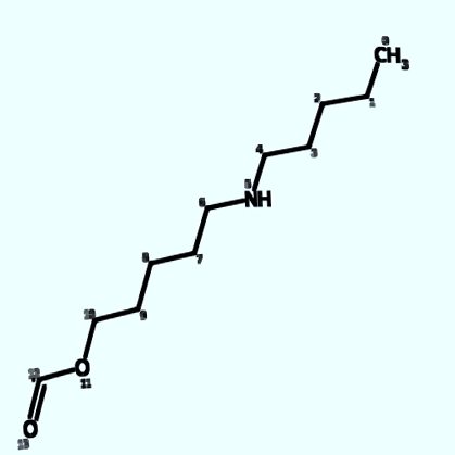 CCCCCNCCCCCO[C]=O